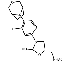 CC(=O)NC[C@H]1CN(c2ccc(N3C4CCC3CSC4)c(F)c2)C(O)O1